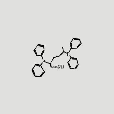 C[C@H](CC[C@@H]([CH2][Ru])P(c1ccccc1)c1ccccc1)P(c1ccccc1)c1ccccc1